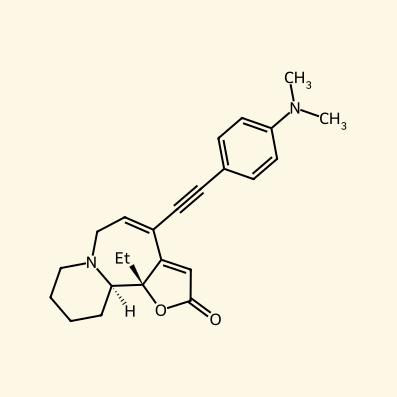 CC[C@]12OC(=O)C=C1C(C#Cc1ccc(N(C)C)cc1)=CCN1CCCC[C@@H]12